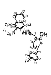 Nc1cc(C(=O)NC[C@@H]2CCN(Cc3ccc(F)cc3)CC2O)c2c(c1Cl)OCCCO2